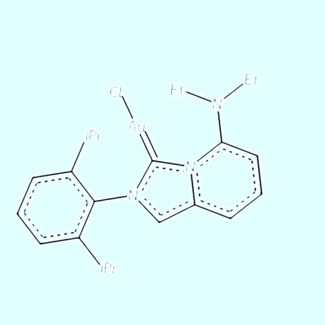 CCN(CC)c1cccc2cn(-c3c(C(C)C)cccc3C(C)C)[c](=[Au][Cl])n12